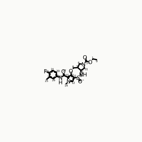 CCOC(=O)N1CC2COc3c(cn(C)c3C(=O)Nc3ccc(F)c(C)c3)[S+]([O-])NC2C1